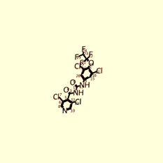 O=C(NC(=O)c1c(Cl)cncc1Cl)Nc1cc(Cl)c(OC(F)(F)C(F)F)c(Cl)c1